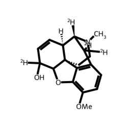 [2H]C1(O)C=C[C@@H]2[C@@]34CCN(C)[C@]2([2H])C([2H])([2H])c2ccc(OC)c(c23)OC14